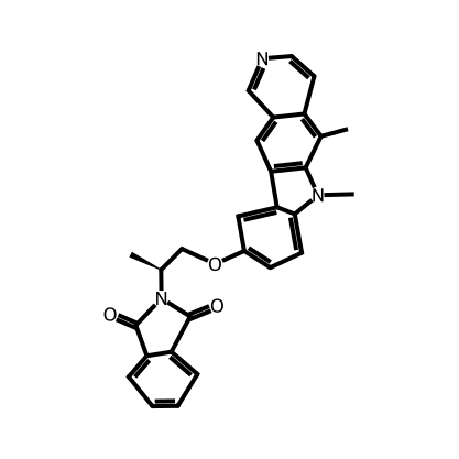 Cc1c2ccncc2cc2c3cc(OC[C@H](C)N4C(=O)c5ccccc5C4=O)ccc3n(C)c12